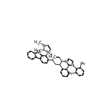 C=CC1C(CCc2ccc3c(oc4ccccc43)c2[N+]2(I)C=CN(C)C2C)c2ccccc2-c2n(-c3c(C(C)C)cccc3C(C)C)cc[n+]21